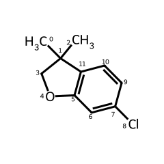 CC1(C)COc2cc(Cl)ccc21